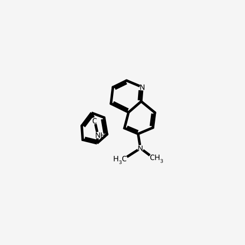 CN(C)c1ccc2ncccc2c1.c1cc2ccc1CN2